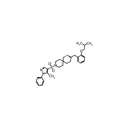 Cc1c(S(=O)(=O)N2CCC3(CCN(Cc4ccccc4OCC(C)C)CC3)CC2)cnn1-c1ccccc1